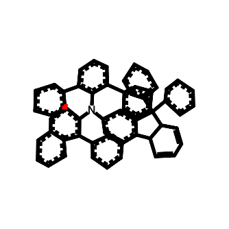 C1=CC2c3ccc(N(c4ccc5ccccc5c4-c4ccccc4)c4c(-c5ccccc5)cccc4-c4ccccc4)cc3C(c3ccccc3)(c3ccccc3)C2C=C1